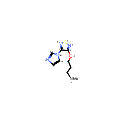 CNCCCOc1nsnc1-n1ccnc1